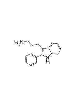 NC=CCc1c(-c2ccccc2)[nH]c2ccccc12